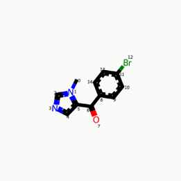 Cn1cncc1C(=O)c1ccc(Br)cc1